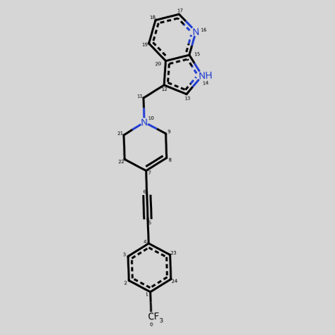 FC(F)(F)c1ccc(C#CC2=CCN(Cc3c[nH]c4ncccc34)CC2)cc1